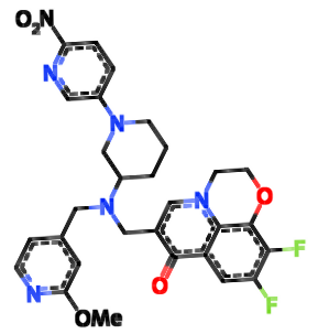 COc1cc(CN(Cc2cn3c4c(c(F)c(F)cc4c2=O)OCC3)C2CCCN(c3ccc([N+](=O)[O-])nc3)C2)ccn1